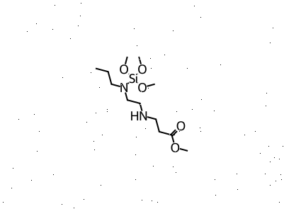 CCCN(CCNCCC(=O)OC)[Si](OC)(OC)OC